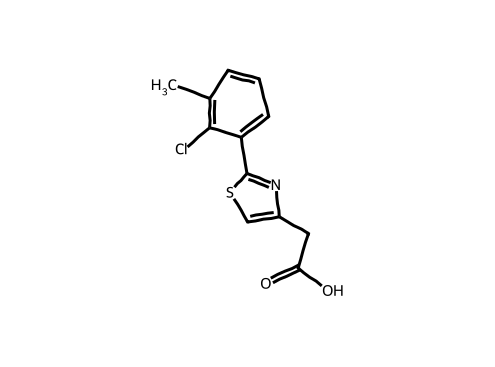 Cc1cccc(-c2nc(CC(=O)O)cs2)c1Cl